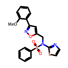 COc1ccccc1-c1cc(CN(c2nccs2)S(=O)(=O)c2ccccc2)on1